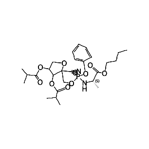 CCCCOC(=O)[C@H](C)NP(=O)(OCC1(C#N)OCC(OC(=O)C(C)C)C1OC(=O)C(C)C)Oc1ccccc1